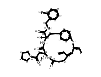 C=C/C1=C\C(=C/C)Oc2ccc(cc2)C[C@@H](C(=O)NCc2ccccc2F)NC(=O)[C@H](CC(=O)N2CCCC2)NC(=O)CC1